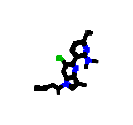 COCC(C)n1cc(C)c2nc(-c3ccc(C(C)C)nc3N(C)C)c(Cl)cc21